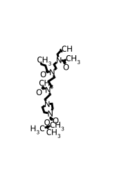 C#CCN(CCN(CCCN(CCN1CCN(C(=O)OC(C)(C)C)CC1)C(C)=O)C(=O)CCC)C(C)=O